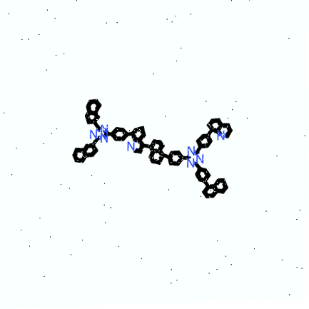 c1ccc2cc(-c3nc(-c4ccc(-c5cccc6c(-c7cccc8c(-c9ccc(-c%10nc(-c%11ccc(-c%12cccc%13ccccc%12%13)cc%11)nc(-c%11ccc(-c%12cccc%13cccnc%12%13)cc%11)n%10)cc9)cccc78)ccnc56)cc4)nc(-c4ccc5ccccc5c4)n3)ccc2c1